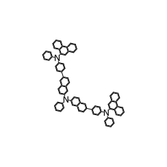 c1ccc(N(c2ccc3cc(-c4ccc(N(c5ccccc5)c5cc6ccccc6c6ccccc56)cc4)ccc3c2)c2ccc3cc(-c4ccc(N(c5ccccc5)c5cc6ccccc6c6ccccc56)cc4)ccc3c2)cc1